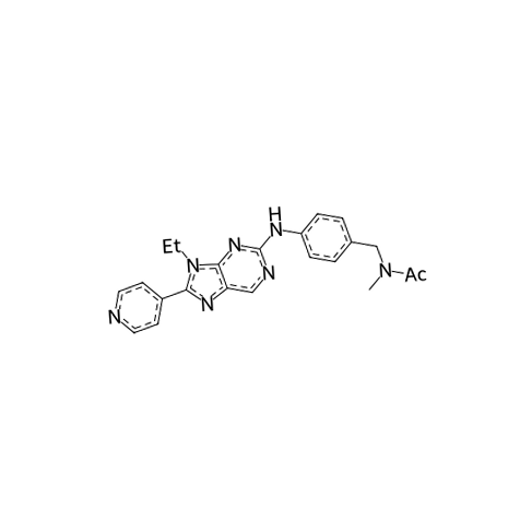 CCn1c(-c2ccncc2)nc2cnc(Nc3ccc(CN(C)C(C)=O)cc3)nc21